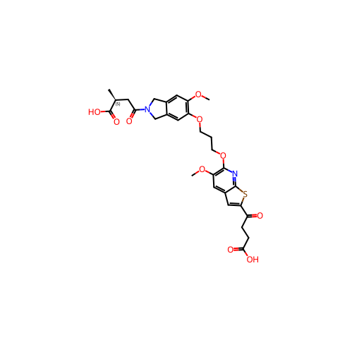 COc1cc2c(cc1OCCCOc1nc3sc(C(=O)CCC(=O)O)cc3cc1OC)CN(C(=O)C[C@H](C)C(=O)O)C2